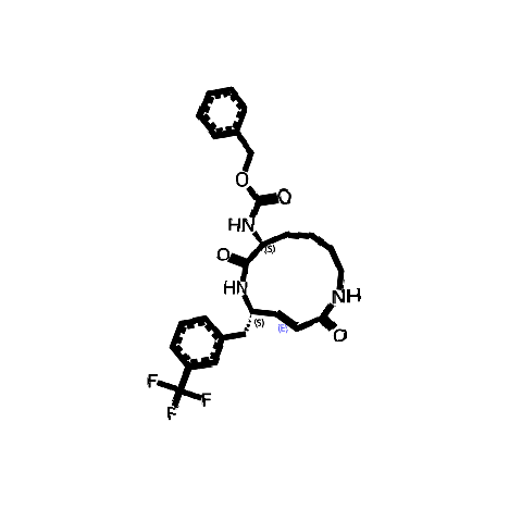 O=C1/C=C/[C@H](Cc2cccc(C(F)(F)F)c2)NC(=O)[C@@H](NC(=O)OCc2ccccc2)CCCCN1